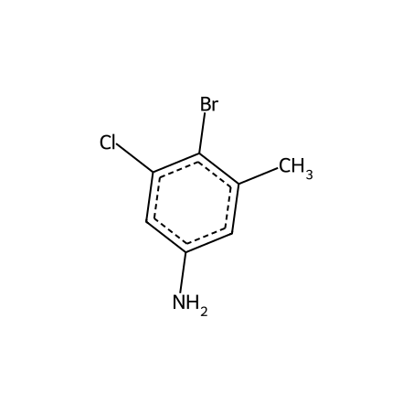 Cc1cc(N)cc(Cl)c1Br